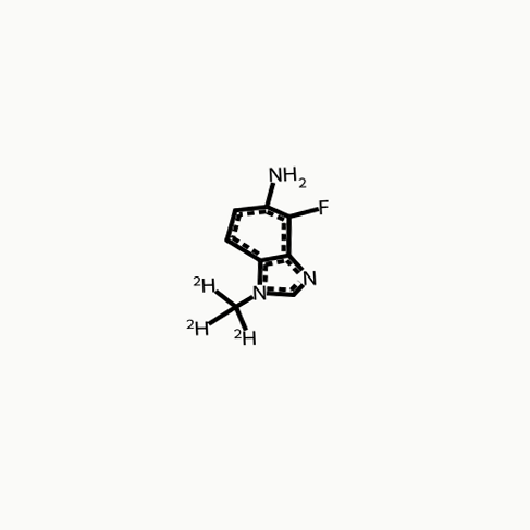 [2H]C([2H])([2H])n1cnc2c(F)c(N)ccc21